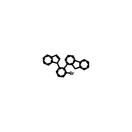 Brc1cccc(C2C=Cc3ccccc32)c1-c1cccc2c1Cc1ccccc1-2